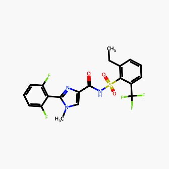 CCc1cccc(C(F)(F)F)c1S(=O)(=O)NC(=O)c1cn(C)c(-c2c(F)cccc2F)n1